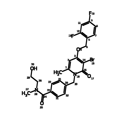 Cc1cc(OCc2ccc(F)cc2F)c(Br)c(=O)n1Cc1ccc(C(=O)N(C)CCO)cc1